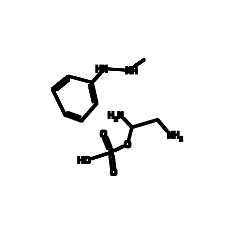 CNNc1ccccc1.NCC(N)OS(=O)(=O)O